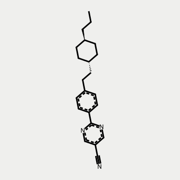 CCC[C@H]1CC[C@H](CCc2ccc(-c3ncc(C#N)cn3)cc2)CC1